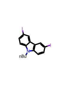 CCCCn1c2ccc(I)cc2c2cc(I)ccc21